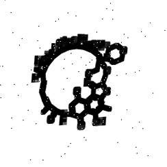 CO[C@H]1/C=C/O[C@@]2(C)Oc3c(C)c(O)c4c(c3/C2=N/OCCN2CCOCC2)C(=O)C=C(NC(=O)/C(C)=C\C=C\[C@H](C)[C@H](O)[C@@H](C)[C@@H](O)[C@@H](C)[C@H](OC(C)=O)[C@@H]1C)C4=O